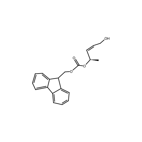 C[C@H](/C=C\CO)OC(=O)OCC1c2ccccc2-c2ccccc21